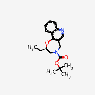 CC[C@@H]1CN(C(=O)OC(C)(C)C)Cc2cnc3ccccc3c2O1